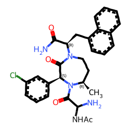 CC(=O)NC(N)C(=O)N1[C@H](C)CCN([C@H](Cc2cccc3ccccc23)C(N)=O)C(=O)[C@@H]1c1cccc(Cl)c1